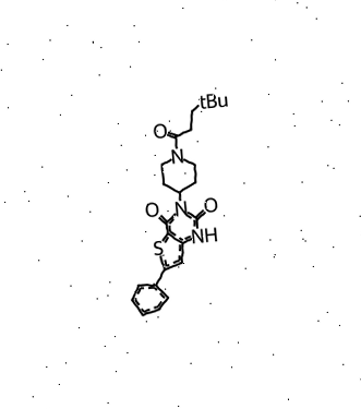 CC(C)(C)CCC(=O)N1CCC(n2c(=O)[nH]c3cc(-c4ccccc4)sc3c2=O)CC1